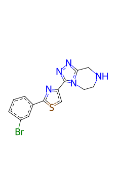 Brc1cccc(-c2nc(-c3nnc4n3CCNC4)cs2)c1